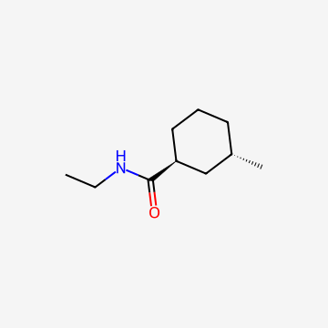 CCNC(=O)[C@H]1CCC[C@H](C)C1